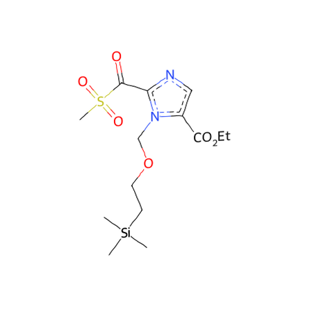 CCOC(=O)c1cnc(C(=O)S(C)(=O)=O)n1COCC[Si](C)(C)C